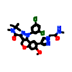 CNC(=O)Cn1cc(-c2cc3c(cc2OC)OCc2c(C(=O)N(C)C(C)(C)C)nn(-c4cc(Cl)cc(Cl)c4)c2-3)cn1